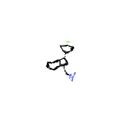 CN(C)C[C@@H]1C[C@@H](c2ccc(F)cc2)c2ccccc21